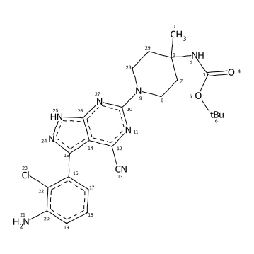 CC1(NC(=O)OC(C)(C)C)CCN(c2nc(C#N)c3c(-c4cccc(N)c4Cl)n[nH]c3n2)CC1